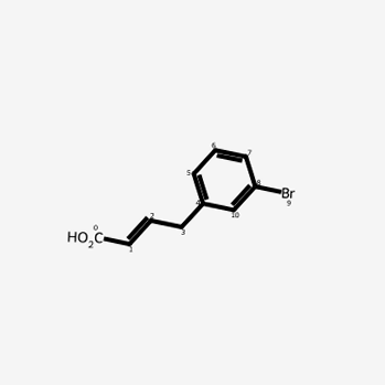 O=C(O)/C=C/Cc1cccc(Br)c1